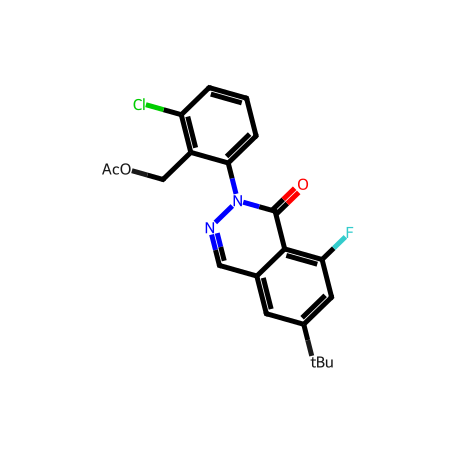 CC(=O)OCc1c(Cl)cccc1-n1ncc2cc(C(C)(C)C)cc(F)c2c1=O